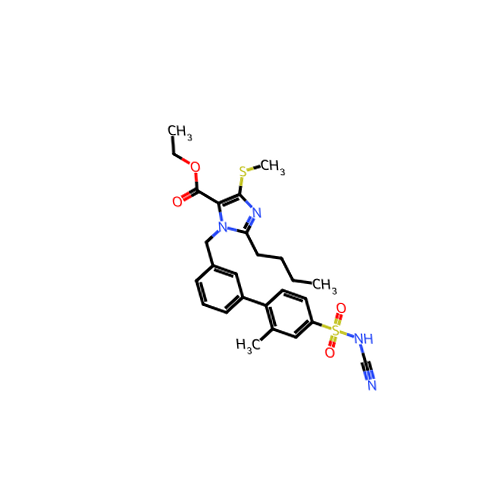 CCCCc1nc(SC)c(C(=O)OCC)n1Cc1cccc(-c2ccc(S(=O)(=O)NC#N)cc2C)c1